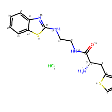 Cl.N[C@@H](Cc1cccs1)C(=O)NCCNc1nc2ccccc2s1